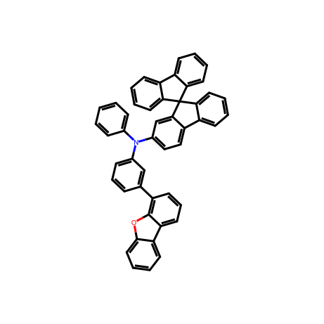 c1ccc(N(c2cccc(-c3cccc4c3oc3ccccc34)c2)c2ccc3c(c2)C2(c4ccccc4-c4ccccc42)c2ccccc2-3)cc1